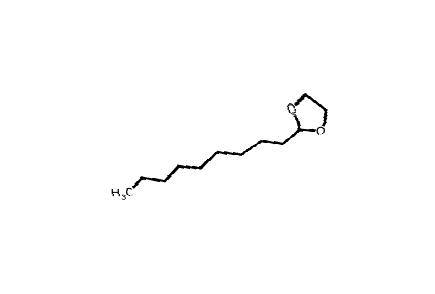 CCCCCCCCCC1OCCO1